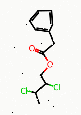 CC(Cl)C(Cl)COC(=O)Cc1ccccc1